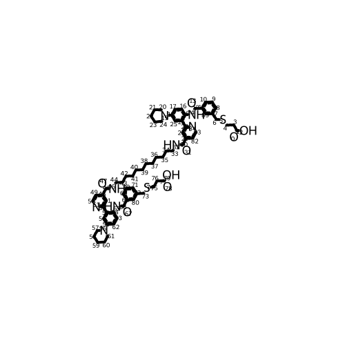 O=C(O)CCSCc1cccc(C(=O)Nc2ccc(N3CCCCC3)cc2-c2cc(C(=O)NCCCCCCCCCCCCNC(=O)c3ccnc(-c4cc(N5CCCCC5)ccc4NC(=O)c4cccc(CSCCC(=O)O)c4)c3)ccn2)c1